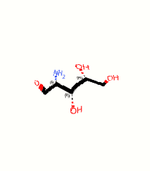 N[C@@H](C=O)[C@@H](O)[C@H](O)CO